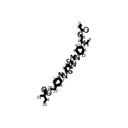 C=CC(=O)OCCN(CC)c1ccc(/N=N/c2nc3sc(/N=N/c4ccc(CCOC(=O)C(C)CC)cc4)cc3s2)cc1